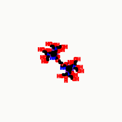 O=C(Nc1c(I)c(C(=O)N(CC(O)CO)CC(O)CO)c(I)c(C(=O)N(CC(O)CO)CC(O)CO)c1I)OCCCOC(=O)Nc1c(I)c(C(=O)N(CC(O)CO)CC(O)CO)c(I)c(C(=O)N(CC(O)CO)CC(O)CO)c1I